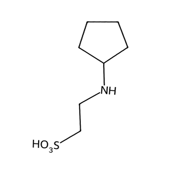 O=S(=O)(O)CCNC1CCCC1